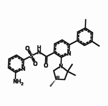 Cc1cc(C)cc(-c2ccc(C(=O)NS(=O)(=O)c3cccc(N)n3)c(N3C[C@@H](C)CC3(C)C)n2)c1